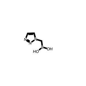 OB(O)Cn1ccnn1